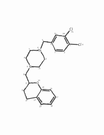 Clc1ccc(CN2CCN(CC3CCc4ccccc4O3)CC2)cc1Cl